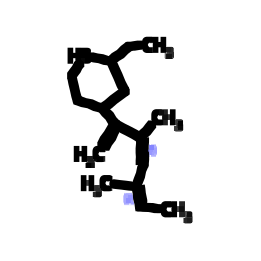 C=C(/C(C)=C\C(C)=C/C)C1CCBC(CC)C1